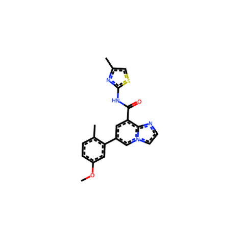 COc1ccc(C)c(-c2cc(C(=O)Nc3nc(C)cs3)c3nccn3c2)c1